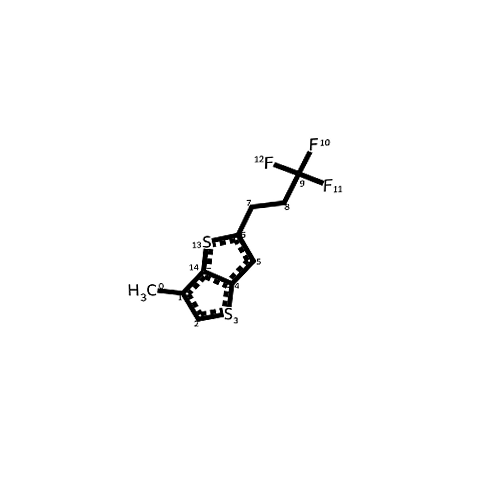 Cc1csc2cc(CCC(F)(F)F)sc12